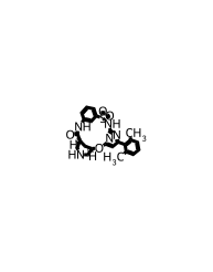 Cc1cccc(C)c1-c1cc2nc(n1)NS(=O)(=O)c1cccc(c1)NC(=O)[C@@H]1CNC[C@@H](C1)O2